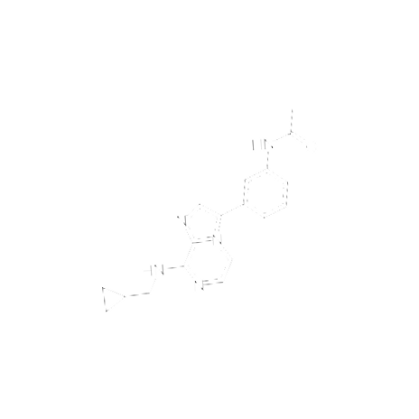 CC(=O)Nc1cccc(-c2cnc3c(NCC4CC4)nccn23)c1